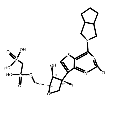 O=P(O)(O)CP(=O)(O)OC[C@H]1OC[C@@](F)(c2csc3c(N4CC5CCCC5C4)nc(Cl)nc23)[C@@H]1O